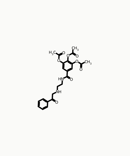 CC(=O)Oc1cc(C(=O)NCCNCC(=O)c2ccccc2)cc(OC(C)=O)c1OC(C)=O